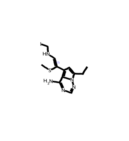 CCc1cc(/C(=C/NCI)SC)c2c(N)ncnn12